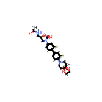 CC(=O)NCC1CN(c2ccc(-c3ccc(N4CCC5(CC4)OCCO5)c(F)c3)c(F)c2)C(=O)O1